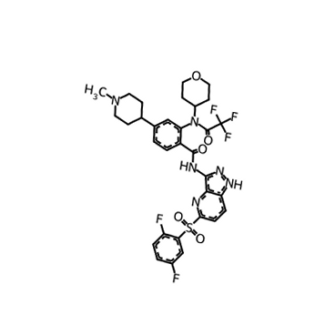 CN1CCC(c2ccc(C(=O)Nc3n[nH]c4ccc(S(=O)(=O)c5cc(F)ccc5F)nc34)c(N(C(=O)C(F)(F)F)C3CCOCC3)c2)CC1